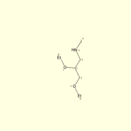 CCOCC(CNI)OCC